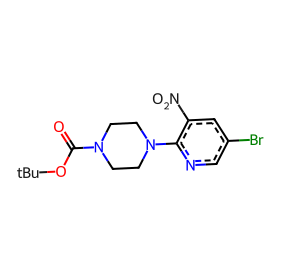 CC(C)(C)OC(=O)N1CCN(c2ncc(Br)cc2[N+](=O)[O-])CC1